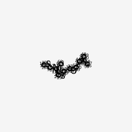 c1ccc(-c2nc(-c3ccc4c(c3)sc3ccccc34)nc(-c3cccc4sc5cc(-c6ccc7c(c6)oc6ccc(-c8ccc9c%10ccccc%10n(-c%10ccccc%10)c9c8)cc67)ccc5c34)n2)cc1